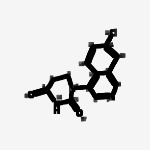 O=C1CCN(c2cncc3cc(Cl)ccc23)C(=O)N1